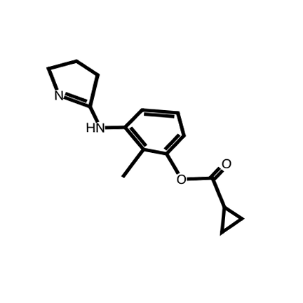 Cc1c(NC2=NCCC2)cccc1OC(=O)C1CC1